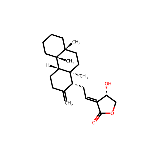 C=C1CC[C@H]2[C@@](C)(CC[C@@]3(C)CCCC[C@@]23C)[C@@H]1C/C=C1/C(=O)OC[C@H]1O